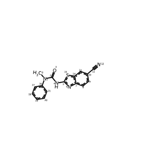 CN(C(=O)Nc1nc2ccc(C#N)cc2s1)c1ccccc1